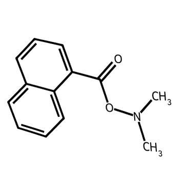 CN(C)OC(=O)c1cccc2ccccc12